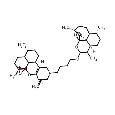 C=CCN(CCCCOC1O[C@@H]2O[C@]3(C)CCC4[C@H](C)CC[C@@H]([C@H]1C)[C@]42OO3)CC1=C(C(F)(F)F)O[C@@H]2O[C@]3(C)CCC4[C@H](C)CC[C@@H]1[C@]42O3